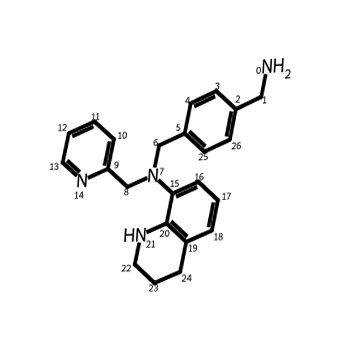 NCc1ccc(CN(Cc2ccccn2)c2cccc3c2NCCC3)cc1